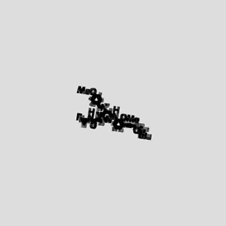 COc1ccc(CN(C)c2cc(Nc3cccc(C#CCO[Si](C)(C)C(C)(C)C)c3OC)nn3cc(C(=O)N[C@@H]4C[C@@H]4F)nc23)cc1